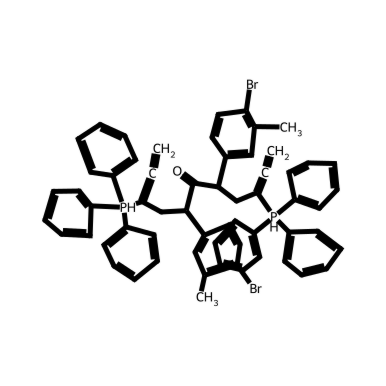 C=C=C(CC(C(=O)C(CC(=C=C)[PH](c1ccccc1)(c1ccccc1)c1ccccc1)c1ccc(Br)c(C)c1)c1ccc(Br)c(C)c1)[PH](c1ccccc1)(c1ccccc1)c1ccccc1